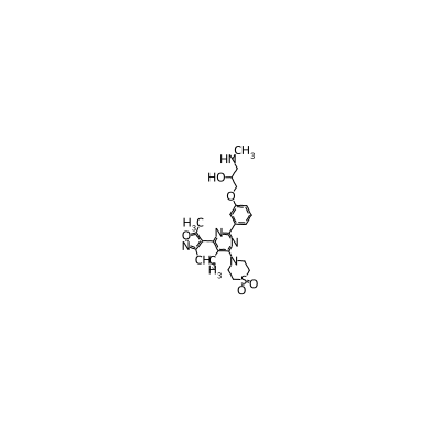 CNCC(O)COc1cccc(-c2nc(-c3c(C)noc3C)c(C)c(N3CCS(=O)(=O)CC3)n2)c1